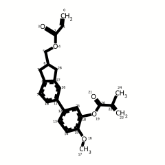 C=CC(=O)OCC1Cc2ccc(-c3ccc(OC)c(OC(=O)C(=C)C)c3)cc2C1